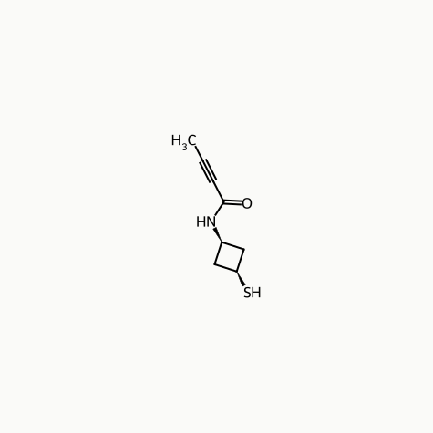 CC#CC(=O)N[C@H]1C[C@@H](S)C1